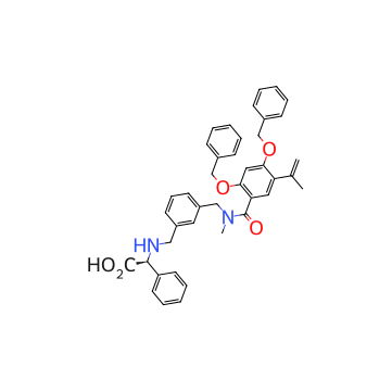 C=C(C)c1cc(C(=O)N(C)Cc2cccc(CN[C@H](C(=O)O)c3ccccc3)c2)c(OCc2ccccc2)cc1OCc1ccccc1